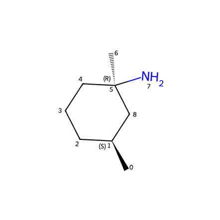 C[C@H]1CCC[C@@](C)(N)C1